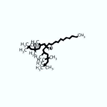 CCCCCCCCCCCC(CC(C)CC(C)(C)CC(C)(C)C)(CC(C)CC(C)(C)CC(C)(C)C)P=O